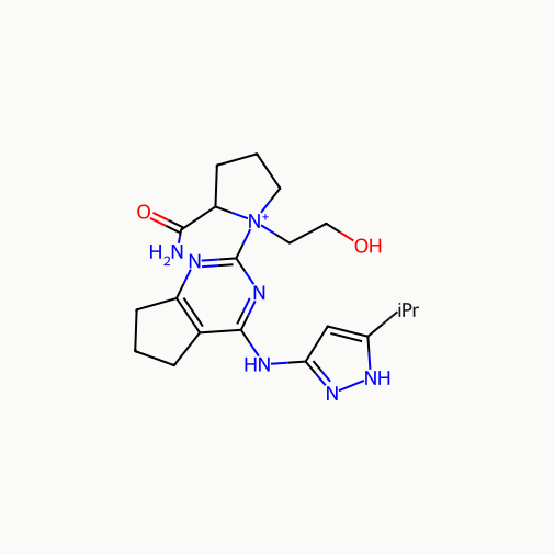 CC(C)c1cc(Nc2nc([N+]3(CCO)CCCC3C(N)=O)nc3c2CCC3)n[nH]1